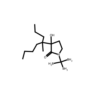 BC(B)(B)N1CCC(O)(C(C)(CCC)CCCC)C1=O